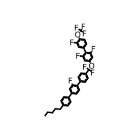 CCCCCc1ccc(-c2ccc(-c3ccc(C(F)(F)Oc4cc(F)c(-c5ccc(OC(F)(F)F)c(F)c5)c(F)c4)cc3)c(F)c2)cc1